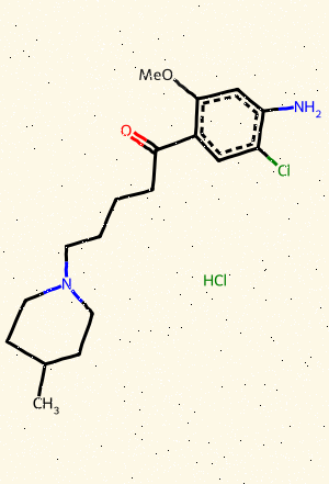 COc1cc(N)c(Cl)cc1C(=O)CCCCN1CCC(C)CC1.Cl